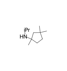 CC(C)NC1(C)CCC(C)(C)C1